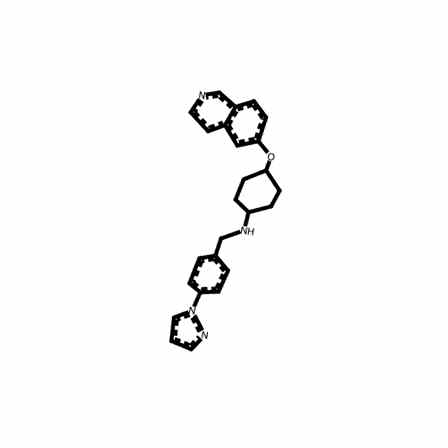 c1cnn(-c2ccc(CNC3CCC(Oc4ccc5cnccc5c4)CC3)cc2)c1